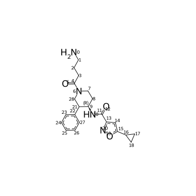 NCCCC(=O)N1CC[C@@H](NC(=O)c2cc(C3CC3)on2)C(c2ccccc2)C1